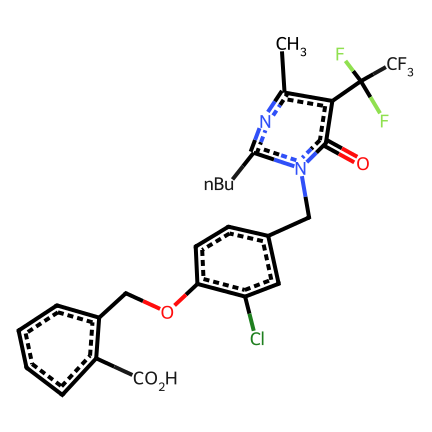 CCCCc1nc(C)c(C(F)(F)C(F)(F)F)c(=O)n1Cc1ccc(OCc2ccccc2C(=O)O)c(Cl)c1